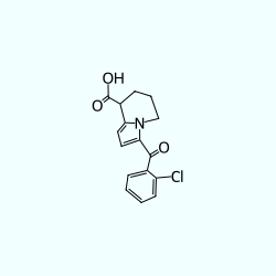 O=C(c1ccccc1Cl)c1ccc2n1CCCC2C(=O)O